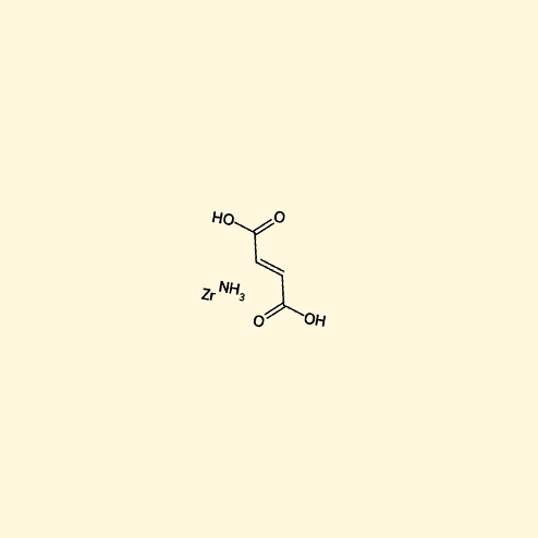 N.O=C(O)C=CC(=O)O.[Zr]